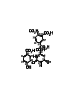 O=C(O)c1cc(=O)[nH]c(=O)[nH]1.O=C(O)c1ccc(C(=O)O)c(C(=O)O)c1.O=C(O)c1ccc(O)cc1